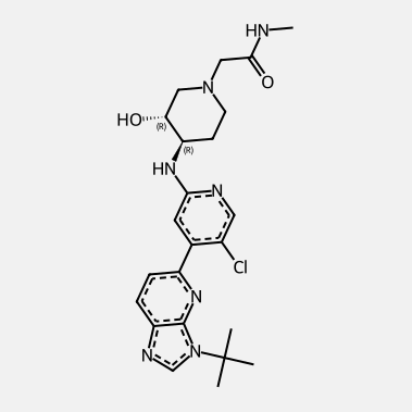 CNC(=O)CN1CC[C@@H](Nc2cc(-c3ccc4ncn(C(C)(C)C)c4n3)c(Cl)cn2)[C@H](O)C1